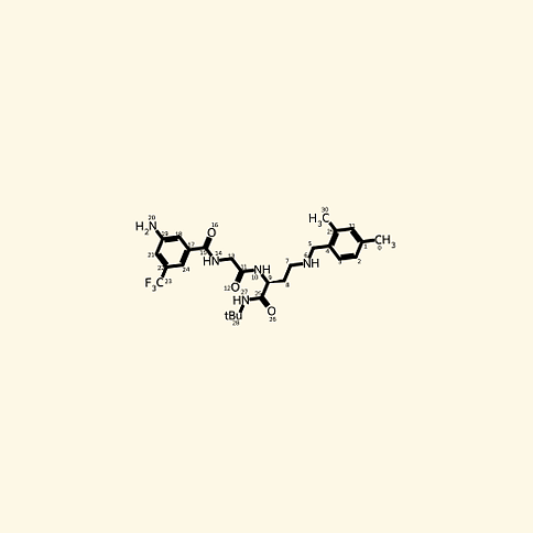 Cc1ccc(CNCC[C@H](NC(=O)CNC(=O)c2cc(N)cc(C(F)(F)F)c2)C(=O)NC(C)(C)C)c(C)c1